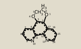 COc1c(OC)c2cccnc2c2ncccc12